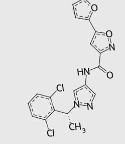 C[C@H](c1c(Cl)cccc1Cl)n1cc(NC(=O)c2cc(-c3ccco3)on2)cn1